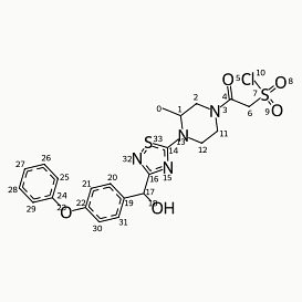 CC1CN(C(=O)CS(=O)(=O)Cl)CCN1c1nc(C(O)c2ccc(Oc3ccccc3)cc2)ns1